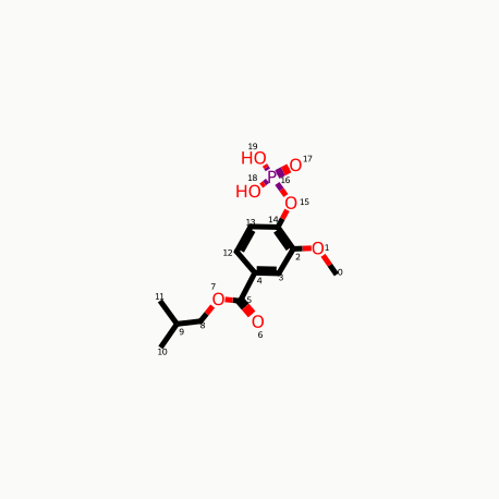 COc1cc(C(=O)OCC(C)C)ccc1OP(=O)(O)O